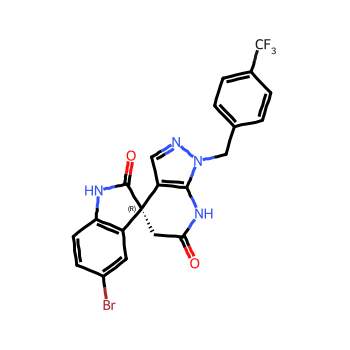 O=C1C[C@]2(C(=O)Nc3ccc(Br)cc32)c2cnn(Cc3ccc(C(F)(F)F)cc3)c2N1